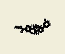 COC(=O)c1ccc2c(c1)CC[C@@H]1[C@@H]2CC[C@]2(C)C(c3cnnc(C)c3)=CC[C@@H]12